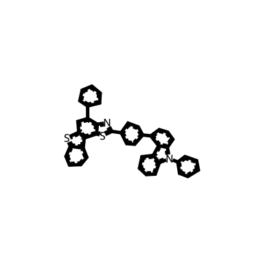 c1ccc(-c2cc3sc4ccccc4c3c3sc(-c4ccc(-c5cccc6c5c5ccccc5n6-c5ccccc5)cc4)nc23)cc1